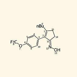 CCCCC1=C(c2ccc(OC(F)(F)F)cc2)C(=NO)CC1